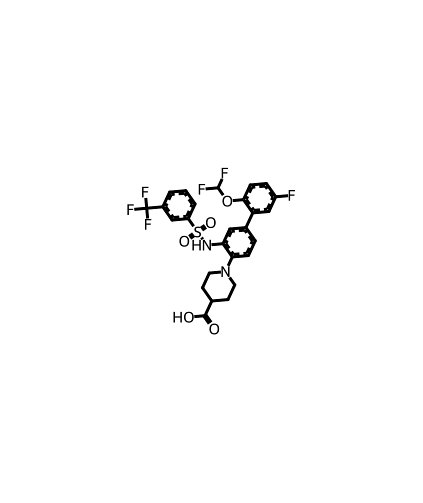 O=C(O)C1CCN(c2ccc(-c3cc(F)ccc3OC(F)F)cc2NS(=O)(=O)c2cccc(C(F)(F)F)c2)CC1